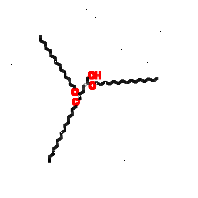 CCCCCCCCCCCCCCCOC[C@H](CC[C@H](CO)OCCCCCCCCCCCCCCC)OCCCCCCCCCCCCCCC